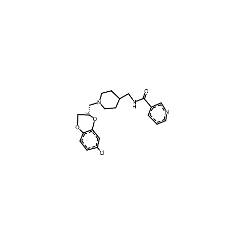 O=C(NCC1CCN(C[C@H]2COc3ccc(Cl)cc3O2)CC1)c1cccnc1